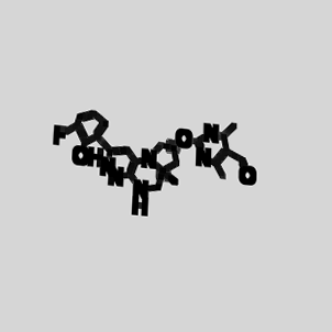 Cc1nc(O[C@H]2CN3c4cc(-c5cccc(F)c5O)nnc4NC[C@@]3(C)C2)nc(C)c1C=O